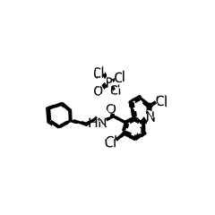 O=C(NCCC1CCCCC1)c1c(Cl)ccc2nc(Cl)ccc12.O=P(Cl)(Cl)Cl